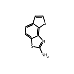 Nc1nc2c(ccc3ccsc32)s1